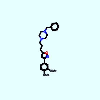 COc1ccc(-c2cc(CCCN3CCN(Cc4ccccc4)CC3)on2)cc1OC